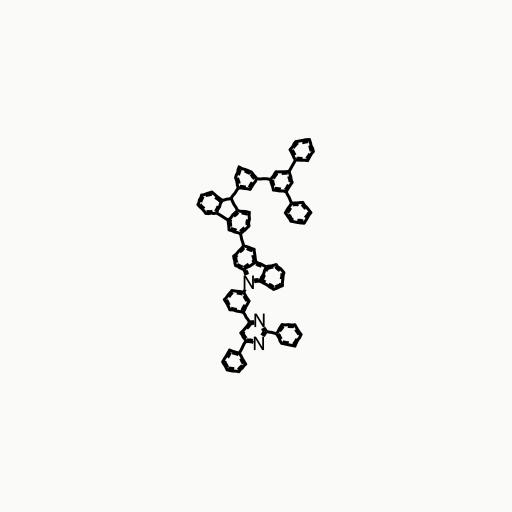 c1ccc(-c2cc(-c3ccccc3)cc(-c3cccc(C4c5ccccc5-c5cc(-c6ccc7c(c6)c6ccccc6n7-c6cccc(-c7cc(-c8ccccc8)nc(-c8ccccc8)n7)c6)ccc54)c3)c2)cc1